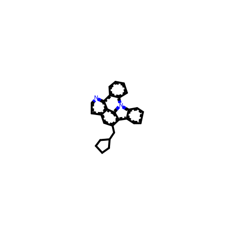 c1ccc2c(c1)c1nccc3cc(CC4CCCC4)c4c5ccccc5n2c4c31